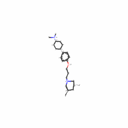 C[C@@H]1C[C@@H](C)CN(CCCOc2ccc([C@H]3CC[C@@H](N(C)C)CC3)cc2)C1